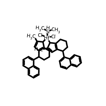 CC1=CC2=C(CCCC2c2cccc3ccccc23)[CH]1[Hf]([Cl])([Cl])([CH]1C(C)=CC2=C1CCCC2c1cccc2ccccc12)[SiH](C)C